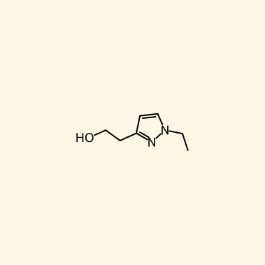 CCn1ccc(CCO)n1